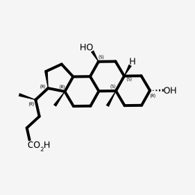 C[C@H](CCC(=O)O)[C@H]1CCC2C3C(CC[C@@]21C)[C@@]1(C)CC[C@@H](O)C[C@H]1C[C@@H]3O